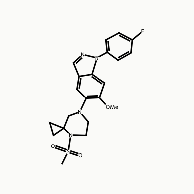 COc1cc2c(cnn2-c2ccc(F)cc2)cc1N1CCN(S(C)(=O)=O)C2(CC2)C1